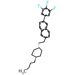 CCCC[C@H]1CC[C@H](CCc2ccc3cc(-c4cc(F)c(F)c(F)c4)ccc3c2)CC1